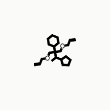 C=CCOCC(COCC=C)(C1CCCCC1)C(C)C1CCCC1